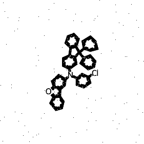 Clc1cccc(N(c2ccc3c(c2)C(c2ccccc2)(c2ccccc2)c2ccccc2-3)c2ccc3oc4ccccc4c3c2)c1